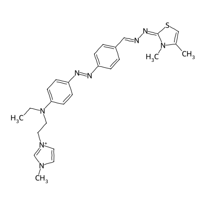 CCN(CC[n+]1ccn(C)c1)c1ccc(N=Nc2ccc(C=NN=c3scc(C)n3C)cc2)cc1